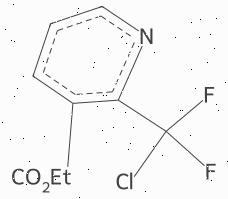 CCOC(=O)c1cccnc1C(F)(F)Cl